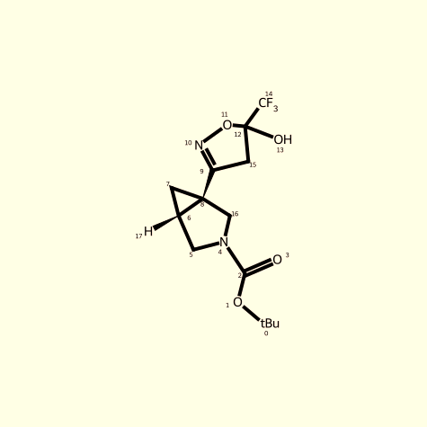 CC(C)(C)OC(=O)N1C[C@@H]2C[C@]2(C2=NOC(O)(C(F)(F)F)C2)C1